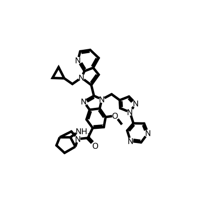 COc1cc(C(=O)N2CC3CCC2C3N)cc2nc(-c3cc4cccnc4n3CC3CC3)n(Cc3cnn(-c4cncnc4)c3)c12